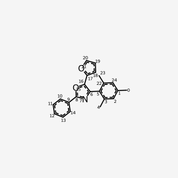 Cc1cc(C)c(-c2nc(-c3ccccc3)oc2-c2ccco2)c(C)c1